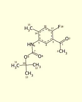 CC(=O)c1cc(NC(=O)OC(C)(C)C)c(C)cc1F